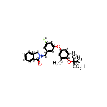 Cc1cc(Oc2cc(F)cc(CN3Cc4ccccc4C3=O)c2)ccc1OC(C)(C)C(=O)O